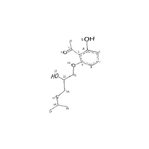 CC(=O)c1c(O)cccc1OCC(O)CSC(C)C